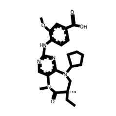 CC[C@]1(C)CN(C2CCCC2)c2nc(Nc3ccc(C(=O)O)cc3OC)ncc2N(C)C1=O